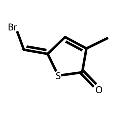 CC1=CC(=CBr)SC1=O